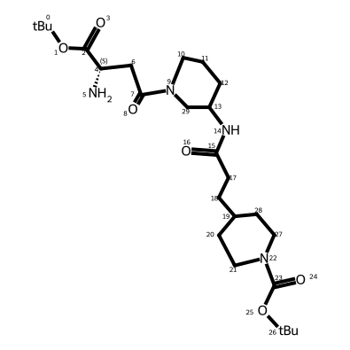 CC(C)(C)OC(=O)[C@@H](N)CC(=O)N1CCCC(NC(=O)CCC2CCN(C(=O)OC(C)(C)C)CC2)C1